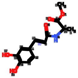 COC(=O)[C@H](C)NC(=O)/C=C/c1ccc(O)c(O)c1